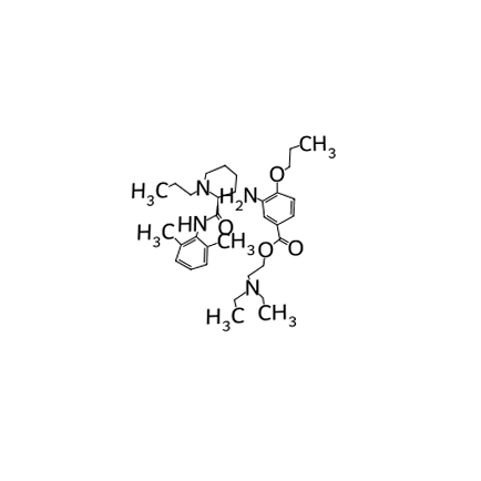 CCCN1CCCC[C@H]1C(=O)Nc1c(C)cccc1C.CCCOc1ccc(C(=O)OCCN(CC)CC)cc1N